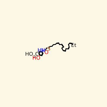 CC/C=C\C/C=C\C/C=C\C/C=C\C/C=C\CCCCSCC(=O)Nc1ccc(O)c(C(=O)O)c1